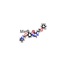 COc1cc(-n2ccnc(CCCOc3ccccc3)c2=O)ccc1OCCN1CCCC1